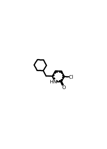 O=c1[nH]c(CC2CCCCC2)ccc1Cl